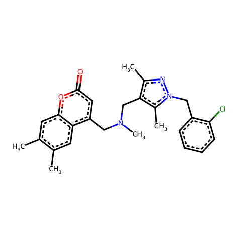 Cc1cc2oc(=O)cc(CN(C)Cc3c(C)nn(Cc4ccccc4Cl)c3C)c2cc1C